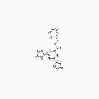 c1cncc(CCNc2cc(-n3cccn3)nc(-c3ccco3)n2)c1